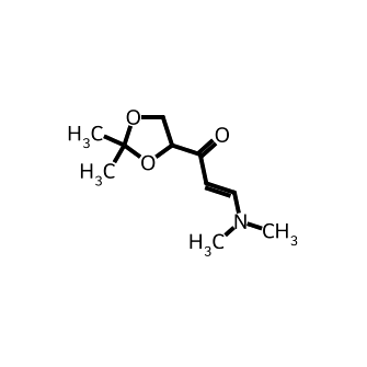 CN(C)C=CC(=O)C1COC(C)(C)O1